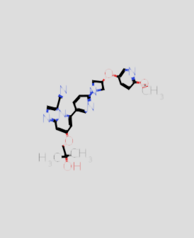 COc1ccc(OC2CN(c3ccc(-c4cc(OCC(C)(C)O)cc5ncc(C#N)n45)cn3)C2)cn1